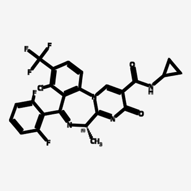 C[C@@H]1N=C(c2c(F)cccc2F)c2c(ccc(C(F)(F)F)c2Cl)-n2cc(C(=O)NC3CC3)c(=O)nc21